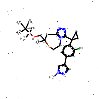 Cn1cc(-c2ccc(C3(c4nnc5n4CCSC(C)(CO[Si](C)(C)C(C)(C)C)C5)CC3)c(F)c2)cn1